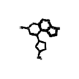 CN1CCC(C2=CB(O)Oc3cnc4[nH]ccc4c32)C1